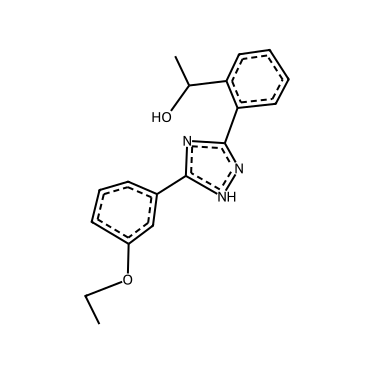 CCOc1cccc(-c2nc(-c3ccccc3C(C)O)n[nH]2)c1